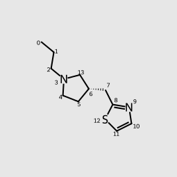 CCCN1CC[C@@H](Cc2nccs2)C1